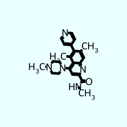 CNC(=O)c1cc(N2CCN(C)CC2)c2c(C)c(-c3ccncc3)c(C)cc2n1